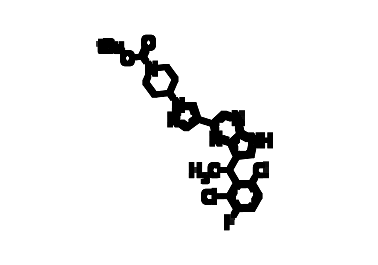 CC(c1c(Cl)ccc(F)c1Cl)c1c[nH]c2ncc(-c3cnn(C4CCN(C(=O)OC(C)(C)C)CC4)c3)nc12